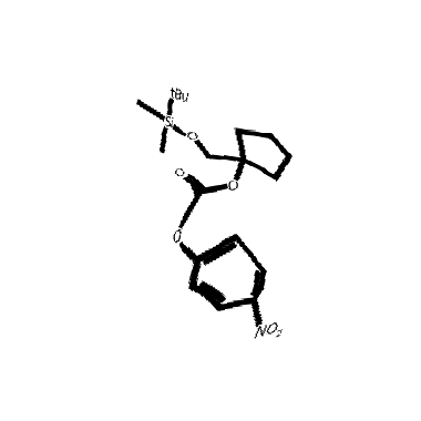 CC(C)(C)[Si](C)(C)OCC1(OC(=O)Oc2ccc([N+](=O)[O-])cc2)CCCC1